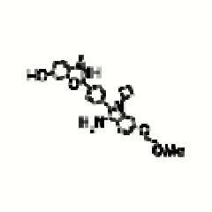 COCCOc1ccc2c(N)c(-c3ccc(C(=O)N[C@H](C)c4ccc(O)cc4)cc3)n(C3CCC3)c2c1